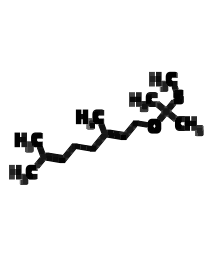 CSC(C)(C)OC/C=C(\C)CCC=C(C)C